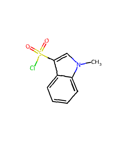 Cn1cc(S(=O)(=O)Cl)c2ccccc21